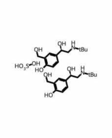 CC(C)(C)NC[C@H](O)c1ccc(O)c(CO)c1.CC(C)(C)NC[C@H](O)c1ccc(O)c(CO)c1.O=S(=O)(O)O